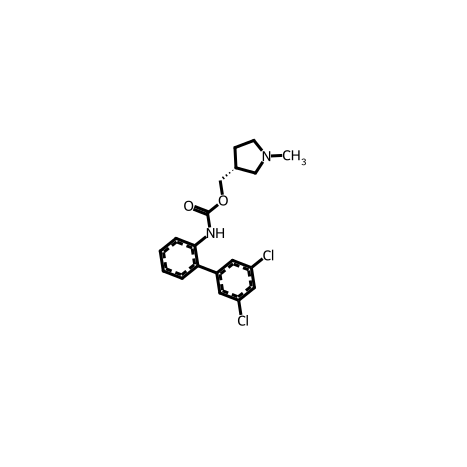 CN1CC[C@@H](COC(=O)Nc2ccccc2-c2cc(Cl)cc(Cl)c2)C1